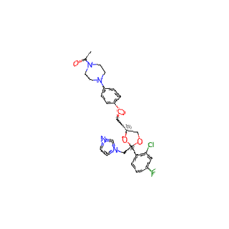 CC(=O)N1CCN(c2ccc(OC[C@H]3CO[C@](Cn4ccnc4)(c4ccc(F)cc4Cl)O3)cc2)CC1